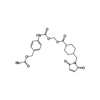 CC(C)(C)C(=O)OCc1ccc(NC(=O)OCOC(=O)C2CCC(CN3C(=O)C=CC3=O)CC2)cc1